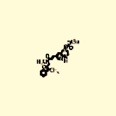 Cc1c(CN(C)C(=O)/C=C/c2cnc3c(c2)CN(OC(=O)OC(C)(C)C)CCN3)oc2ccccc12